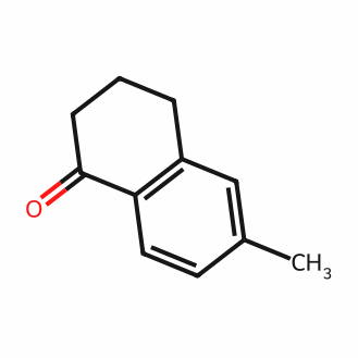 Cc1ccc2c(c1)CCCC2=O